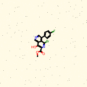 COC(=O)c1nc(Br)c2c(-c3ccc(F)cc3)cncc2c1O